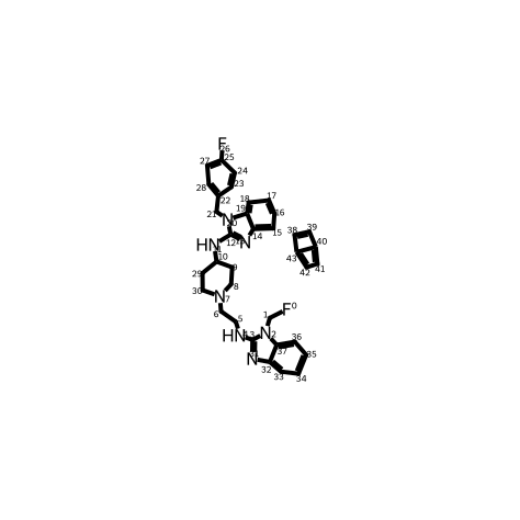 FCn1c(NCCN2CCC(Nc3nc4ccccc4n3Cc3ccc(F)cc3)CC2)nc2ccccc21.c1cc2ccc1-2